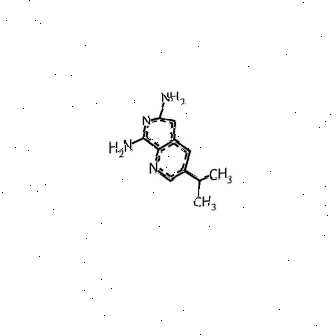 CC(C)c1cnc2c(N)nc(N)cc2c1